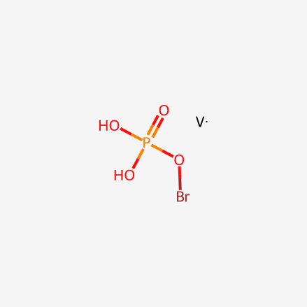 O=P(O)(O)OBr.[V]